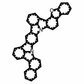 c1ccc2c(c1)ccc1c2c2cccc3c4cc5c6cccc7c8c9oc%10ccccc%10c9ccc8n(c5cc4n1c32)c67